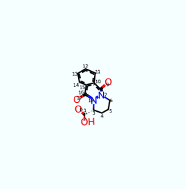 O=C(O)[C@H]1CCCn2c(=O)c3ccccc3c(=O)n21